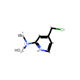 CC(C)(C)N(C(=O)O)c1cc(CCl)ccn1